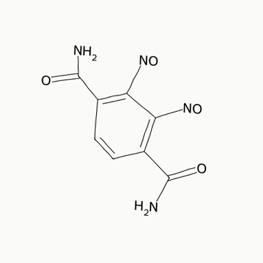 NC(=O)c1ccc(C(N)=O)c(N=O)c1N=O